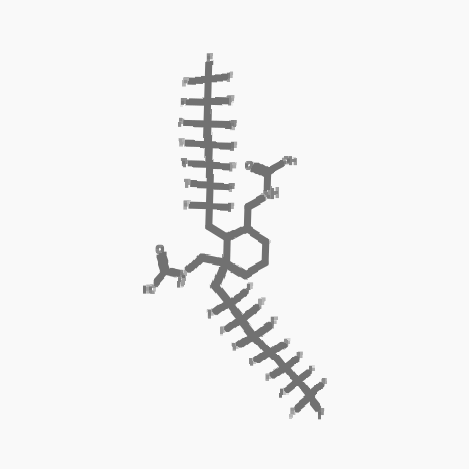 O=C(O)NCC1CCCC(CNC(=O)O)(CC(F)(F)C(F)(F)C(F)(F)C(F)(F)C(F)(F)C(F)(F)C(F)(F)F)C1CC(F)(F)C(F)(F)C(F)(F)C(F)(F)C(F)(F)C(F)(F)C(F)(F)F